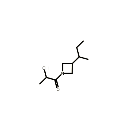 CCC(C)C1CN(C(=O)C(C)O)C1